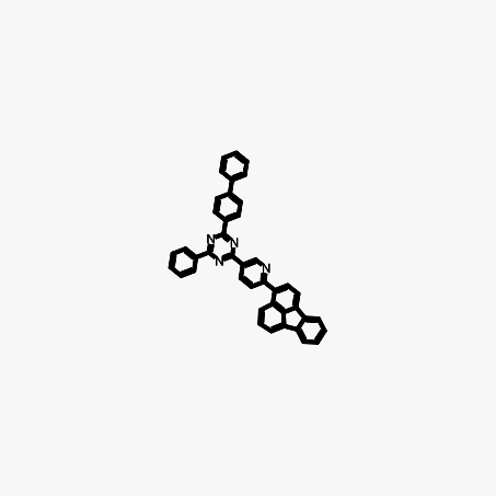 c1ccc(-c2ccc(-c3nc(-c4ccccc4)nc(-c4ccc(-c5ccc6c7c(cccc57)-c5ccccc5-6)nc4)n3)cc2)cc1